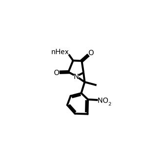 CCCCCCC1C(=O)C2N(C1=O)C2(C)c1ccccc1[N+](=O)[O-]